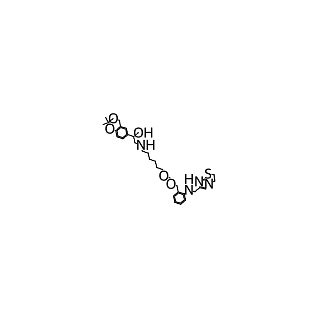 CC1(C)OCc2cc([C@@H](O)CNCCCCCCOCOCc3ccccc3NCc3cn4c(n3)SCC4)ccc2O1